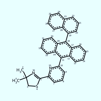 CC1(C)CSC(c2cccc(-c3c4ccccc4c(-c4cccc5ccccc45)c4ccccc34)n2)=N1